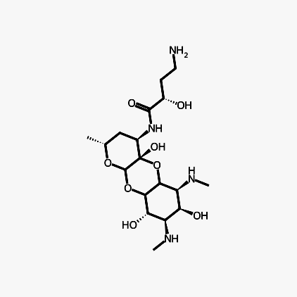 CN[C@@H]1[C@H](O)[C@H](NC)C2O[C@]3(O)C(OC2[C@H]1O)O[C@H](C)C[C@H]3NC(=O)[C@@H](O)CCN